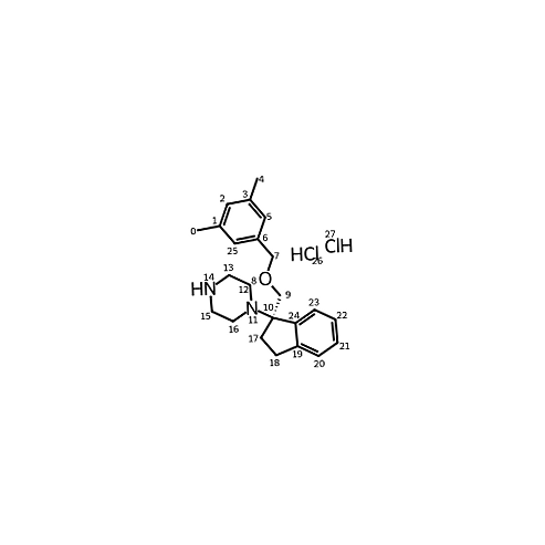 Cc1cc(C)cc(COC[C@@]2(N3CCNCC3)CCc3ccccc32)c1.Cl.Cl